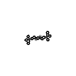 c1ccc(N(c2ccc3c(ccc4c5cc6oc7c8ccc(N(c9ccccc9)c9cc%10ccccc%10c%10ccccc9%10)cc8ccc7c6cc5oc34)c2)c2cc3ccccc3c3ccccc23)cc1